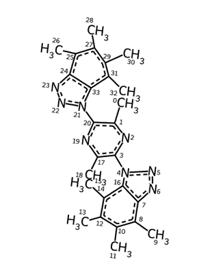 Cc1nc(-n2nnc3c(C)c(C)c(C)c(C)c32)c(C)nc1-n1nnc2c(C)c(C)c(C)c(C)c21